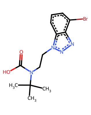 CC(C)(C)N(CCn1nnc2c(Br)cccc21)C(=O)O